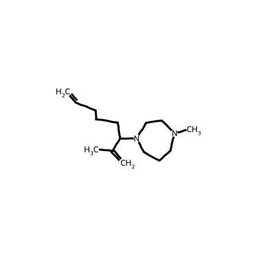 C=CCCCC(C(=C)C)N1CCCN(C)CC1